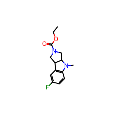 CCOC(=O)N1CC2c3cc(F)ccc3N(C)C2C1